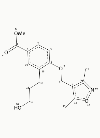 COC(=O)c1ccc(OCc2c(C)noc2C)c(CCCO)c1